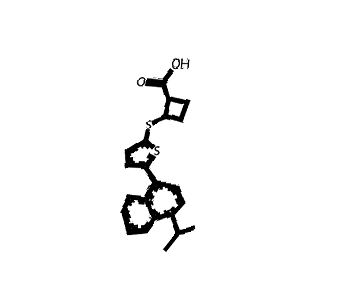 CC(C)c1ccc(-c2ccc(SC3CCC3C(=O)O)s2)c2ccccc12